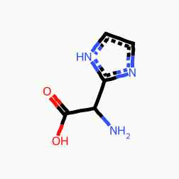 NC(C(=O)O)c1ncc[nH]1